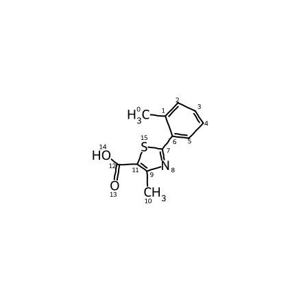 Cc1ccccc1-c1nc(C)c(C(=O)O)s1